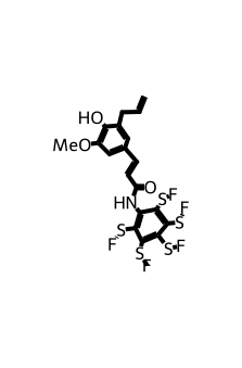 C=CCc1cc(C=CC(=O)Nc2c(SF)c(SF)c(SF)c(SF)c2SF)cc(OC)c1O